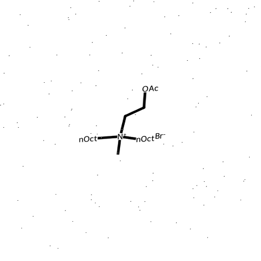 CCCCCCCC[N+](C)(CCCCCCCC)CCOC(C)=O.[Br-]